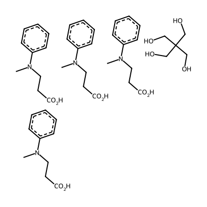 CN(CCC(=O)O)c1ccccc1.CN(CCC(=O)O)c1ccccc1.CN(CCC(=O)O)c1ccccc1.CN(CCC(=O)O)c1ccccc1.OCC(CO)(CO)CO